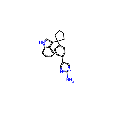 Nc1ncc(-c2ccc(C3(c4c[nH]c5ccccc45)CCCC3)cc2)cn1